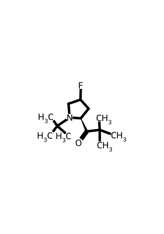 CC(C)(C)C(=O)[C@@H]1CC(F)CN1C(C)(C)C